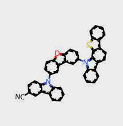 N#Cc1ccc2c(c1)c1ccccc1n2-c1ccc2oc3ccc(-n4c5ccccc5c5ccc6c7ccccc7sc6c54)cc3c2c1